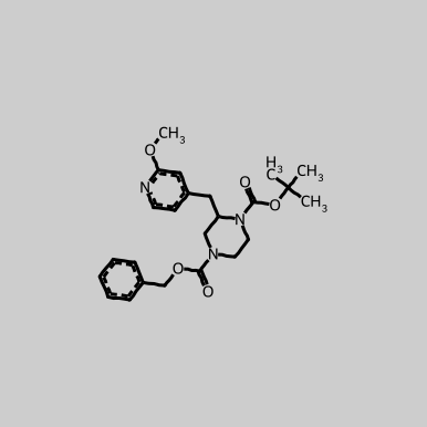 COc1cc(CC2CN(C(=O)OCc3ccccc3)CCN2C(=O)OC(C)(C)C)ccn1